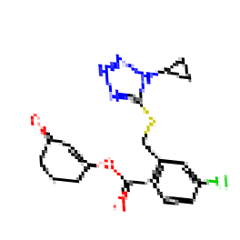 O=C1C=C(OC(=O)c2ccc(Cl)cc2CSc2nnnn2C2CC2)CCC1